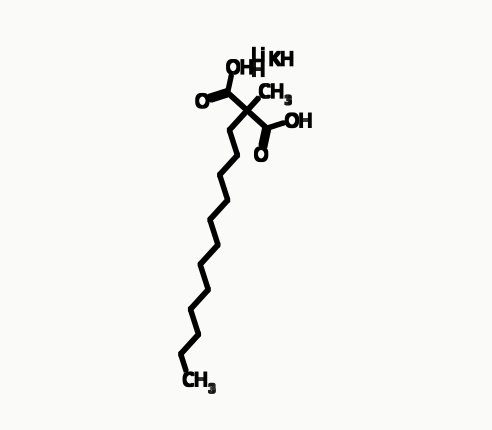 CCCCCCCCCCCCC(C)(C(=O)O)C(=O)O.[KH].[LiH]